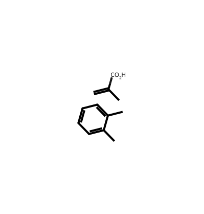 C=C(C)C(=O)O.Cc1ccccc1C